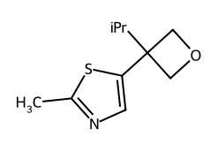 Cc1ncc(C2(C(C)C)COC2)s1